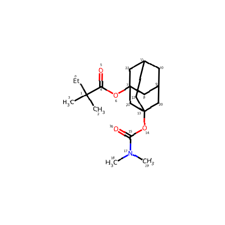 CCC(C)(C)C(=O)OC12CC3CC(CC(OC(=O)N(C)C)(C3)C1)C2